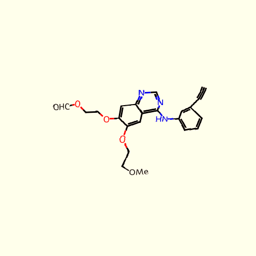 C#Cc1cccc(Nc2ncnc3cc(OCCOC=O)c(OCCOC)cc23)c1